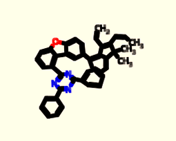 C=CC1=C(/C=C\C)C(C)(C)c2cccc(-c3ccc4oc5cccc(-c6nc(-c7ccccc7)nc(-c7ccccc7)n6)c5c4c3)c21